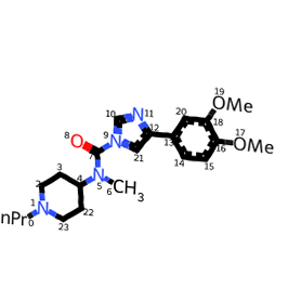 CCCN1CCC(N(C)C(=O)n2cnc(-c3ccc(OC)c(OC)c3)c2)CC1